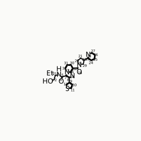 CC[C@@H](CO)NC(=O)c1c(-c2ccsc2)nc2c(C(=O)N3CCC(c4ccccn4)C3)cccn12